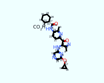 Cc1nc(-c2onc(C)c2Nc2cncc(OC3CC3)n2)ccc1NC(=O)[C@H]1CCCC[C@@H]1C(=O)O